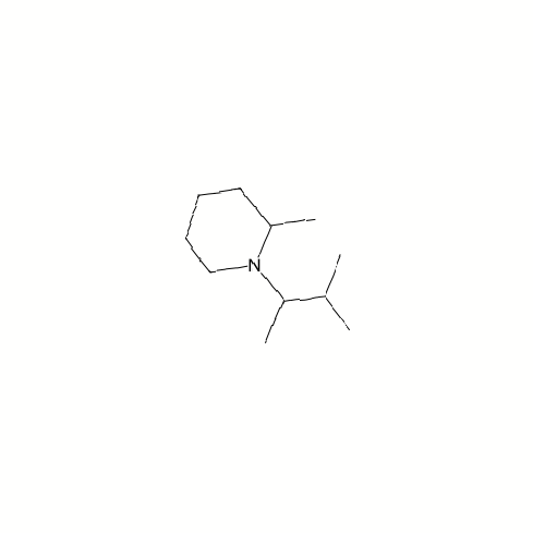 CC(C)C(C)N1CCCCC1C